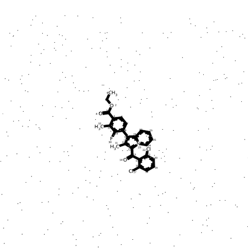 CCOC(=O)c1ccc(-c2c(C)c(C(=O)c3c(Cl)cccc3Cl)n3ccccc23)c(F)c1C